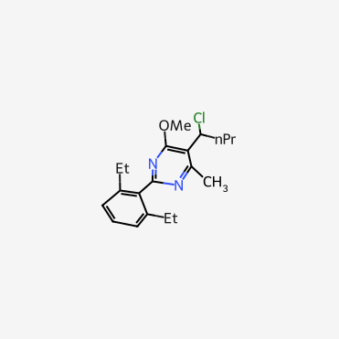 CCCC(Cl)c1c(C)nc(-c2c(CC)cccc2CC)nc1OC